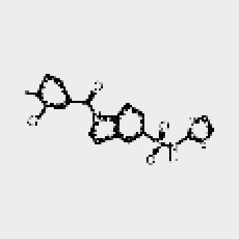 Cc1ccc(C(=O)n2ccc3cc(S(=O)(=O)Nc4nccs4)ccc32)cc1Cl